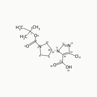 CC(C)(C)OC(=O)N1CC[C@@H](n2cnc(Cl)c2C(=O)O)C1